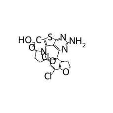 Nc1nc(-c2c(Cl)cc(Cl)c3c2CCO3)c2c(N3C(=O)CCC3=O)c(C(=O)O)sc2n1